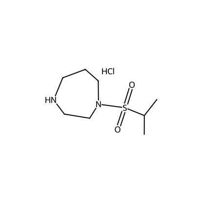 CC(C)S(=O)(=O)N1CCCNCC1.Cl